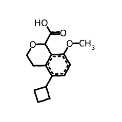 COc1ccc(C2CCC2)c2c1C(C(=O)O)OCC2